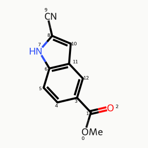 COC(=O)c1ccc2[nH]c(C#N)cc2c1